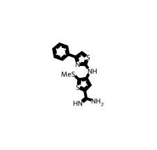 CSc1sc(C(=N)N)cc1Nc1nc(-c2ccccc2)cs1